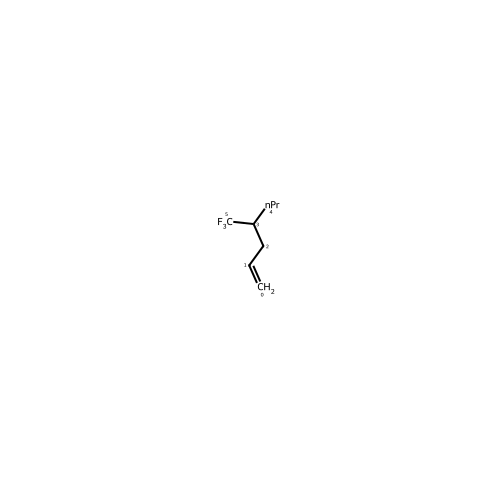 C=CCC(CCC)C(F)(F)F